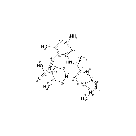 Cc1nc(N)nc(N[C@@H](C)c2nc3ccn(C)c3cc2N2CCN(C(=O)O)[C@@H](C)C2)c1C#N